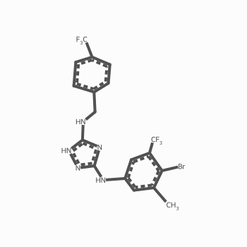 Cc1cc(Nc2n[nH]c(NCc3ccc(C(F)(F)F)cc3)n2)cc(C(F)(F)F)c1Br